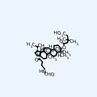 C=C(C)[C@@H]1CC[C@]2(C(=O)CCCNC=O)CC[C@]3(C)[C@H](CC[C@@H]4[C@@]5(C)CC[C@H](OC(=O)CC(C)(C)CC(=O)O)C(C)(C)[C@@H]5CC[C@]43C)[C@@H]12